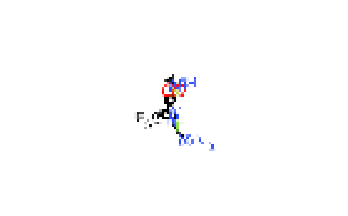 NCC=C(F)Cn1cnc2c(-c3ccc(S(=O)(=O)NC4CC4)cc3)cc(C(F)(F)F)cc21